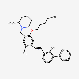 Cc1cc(CN2CCCCC2C(=O)O)c(OCCCCC#N)cc1/C=C/c1cccc(-c2ccccc2)c1C#N